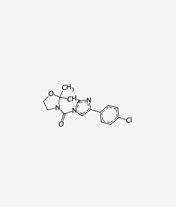 CC1(C)OCCN1C(=O)n1cnc(-c2ccc(Cl)cc2)c1